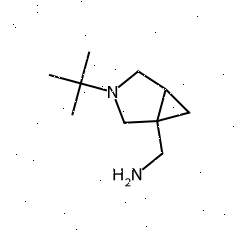 CC(C)(C)N1CC2CC2(CN)C1